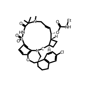 CCNC(=O)O[C@H]1/C=C/CN(C)C(C)(C)C(=O)NS(=O)(=O)c2ccc3c(c2)N(C[C@@H]2CC[C@H]21)C[C@@]1(CCCc2cc(Cl)ccc21)CO3